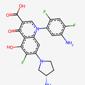 Nc1cc(-n2cc(C(=O)O)c(=O)c3c(O)c(F)c(N4CC[C@H](N)C4)cc32)c(F)cc1F